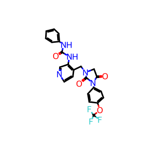 O=C(Nc1ccccc1)Nc1cnccc1CN1CC(=O)N(c2ccc(OC(F)(F)F)cc2)C1=O